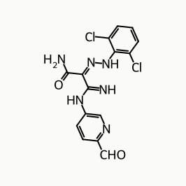 N=C(Nc1ccc(C=O)nc1)/C(=N\Nc1c(Cl)cccc1Cl)C(N)=O